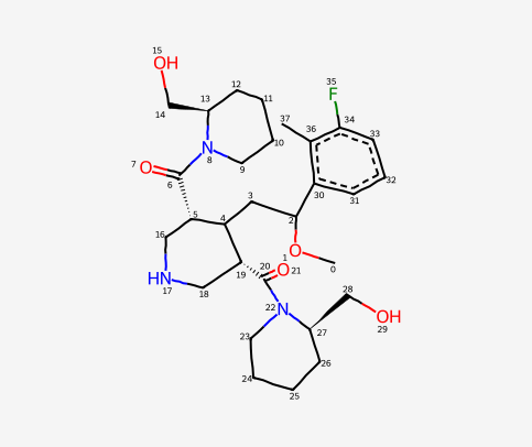 COC(CC1[C@@H](C(=O)N2CCCC[C@@H]2CO)CNC[C@H]1C(=O)N1CCCC[C@@H]1CO)c1cccc(F)c1C